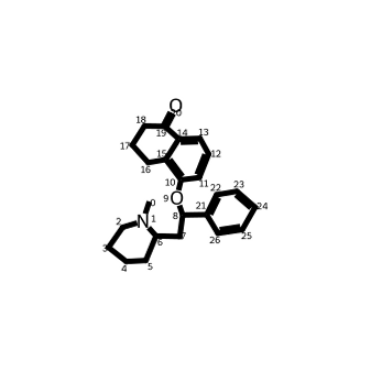 CN1CCCCC1CC(Oc1cccc2c1CCCC2=O)c1ccccc1